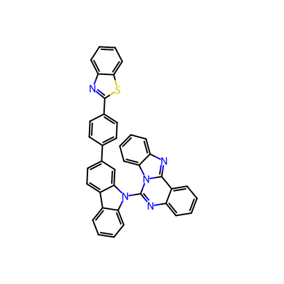 c1ccc2sc(-c3ccc(-c4ccc5c6ccccc6n(-c6nc7ccccc7c7nc8ccccc8n67)c5c4)cc3)nc2c1